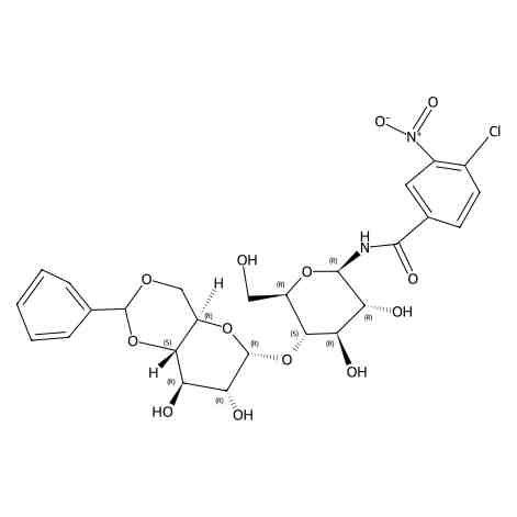 O=C(N[C@@H]1O[C@H](CO)[C@@H](O[C@H]2O[C@@H]3COC(c4ccccc4)O[C@H]3[C@H](O)[C@H]2O)[C@H](O)[C@H]1O)c1ccc(Cl)c([N+](=O)[O-])c1